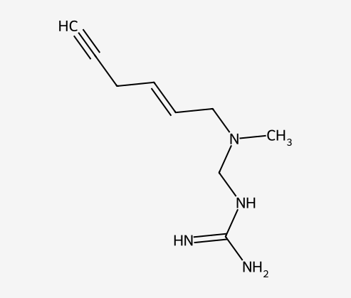 C#CC/C=C/CN(C)CNC(=N)N